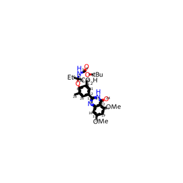 CCC(NC(=O)OC(C)(C)C)(Oc1c(C)cc(-c2nc3cc(OC)cc(OC)c3c(=O)[nH]2)cc1C)C(=O)O